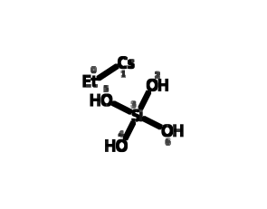 C[CH2][Cs].O[Si](O)(O)O